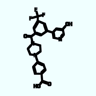 O=C(O)c1ccc(N2CCN(C(=O)c3cc(-c4cncc(O)c4)cc(C(F)(F)F)c3)CC2)cc1